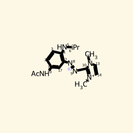 CC(=O)Nc1ccc(NC(C)C)c(/N=N/c2n(C)cc[n+]2C)c1